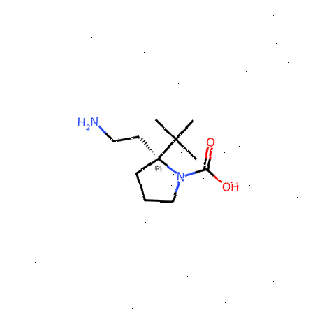 CC(C)(C)[C@]1(CCN)CCCN1C(=O)O